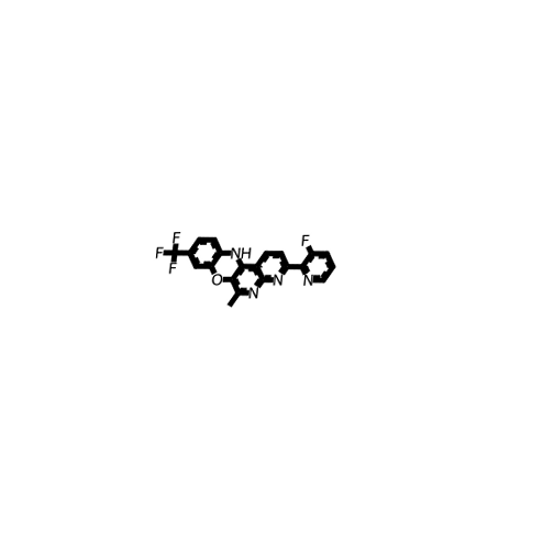 Cc1nc2nc(-c3ncccc3F)ccc2c2c1Oc1cc(C(F)(F)F)ccc1N2